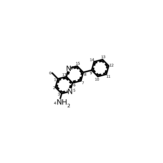 Cc1cc(N)nc2cc(-c3ccccc3)cnc12